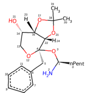 CCCCC[C@@H](N)O[C@@]1(Cc2ccccc2)OC[C@H](O)[C@@H]2OC(C)(C)O[C@@H]21